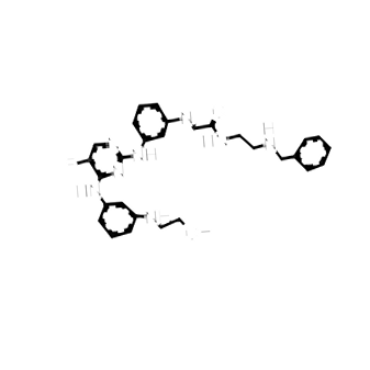 O=C(C=Nc1cccc(Nc2ncc(F)c(Nc3cccc(NCCO)c3)n2)c1)NCCNCc1ccccc1